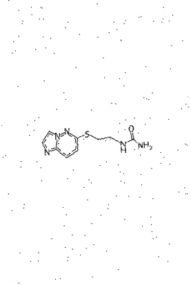 NC(=O)NCCSc1ccc2nccn2n1